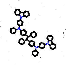 c1ccc(/C(=C(/c2ccccc2)c2ccc(N(c3ccccc3)c3ccc(-n4c5ccccc5c5ccccc54)cc3)cc2)c2ccc(N(c3ccccc3)c3ccc(-n4c5ccccc5c5ccccc54)cc3)cc2)cc1